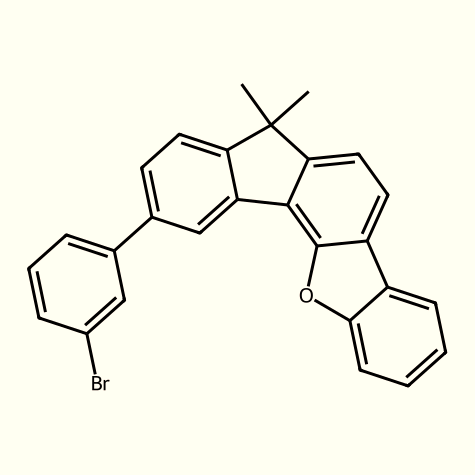 CC1(C)c2ccc(-c3cccc(Br)c3)cc2-c2c1ccc1c2oc2ccccc21